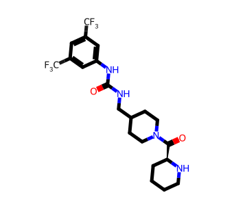 O=C(NCC1CCN(C(=O)[C@@H]2CCCCN2)CC1)Nc1cc(C(F)(F)F)cc(C(F)(F)F)c1